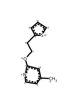 Cc1ccnc(OCCc2cccs2)c1